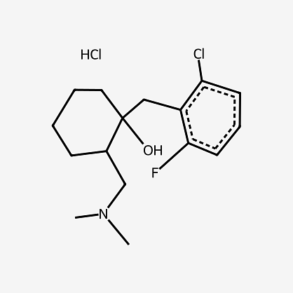 CN(C)CC1CCCCC1(O)Cc1c(F)cccc1Cl.Cl